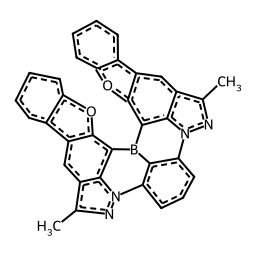 Cc1nn2c3c(c4oc5ccccc5c4cc13)B1c3c-2cccc3-n2nc(C)c3cc4c(oc5ccccc54)c1c32